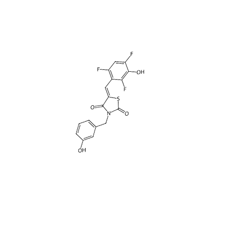 O=C1SC(=Cc2c(F)cc(F)c(O)c2F)C(=O)N1Cc1cccc(O)c1